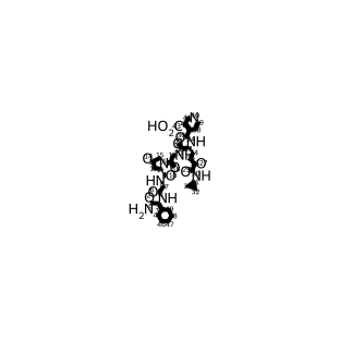 NC(=O)C(NC(=O)CNC(=O)[C@@H]1CC(=O)CN1C(=O)CNC(=O)[C@H](CCC(=O)C(=O)NC1CC1)NC(=O)c1ccncc1C(=O)O)C1CCCCC1